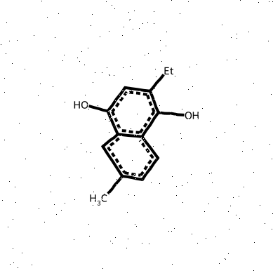 CCc1cc(O)c2cc(C)ccc2c1O